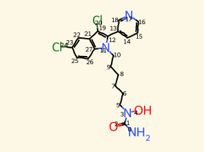 NC(=O)N(O)CCCCCCn1c(-c2cccnc2)c(Cl)c2cc(Cl)ccc21